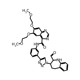 COCCOc1cc2ncnc(C(=O)Nc3cccc(-c4cn(C5CCc6ccccc6NC5C=O)nn4)c3)c2cc1OCCOC